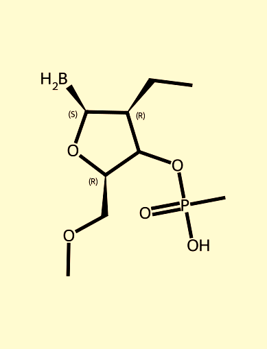 B[C@@H]1O[C@H](COC)C(OP(C)(=O)O)[C@@H]1CC